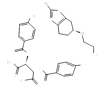 CCCN[C@H]1CCc2nc(N)sc2C1.Cc1ccc(C(=O)O[C@H](C(=O)O)[C@H](OC(=O)c2ccc(C)cc2)C(=O)O)cc1